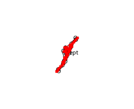 C=CC(=O)OCCCCCCOc1ccc(OC(=O)[C@H]2CC[C@H](C(=O)Oc3ccc(OC(=O)[C@H]4CC[C@H](C(=O)Oc5ccc(OCCCCCCOC(=O)C=C)cc5)CC4)c(/C=N/N(C(=O)CCCCCCC)c4nc5ccccc5s4)c3)CC2)cc1